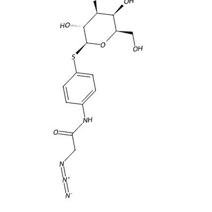 [N-]=[N+]=NCC(=O)Nc1ccc(S[C@@H]2O[C@H](CO)[C@H](O)[C@H](O)[C@H]2O)cc1